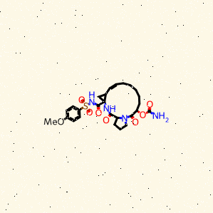 COc1ccc(S(=O)(=O)NC(=O)C23CC2C=CCCCCCC(OC(N)=O)C(=O)N2CCCC2C(=O)N3)cc1